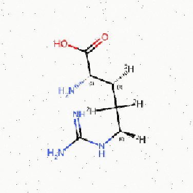 [2H][C@@H](NC(=N)N)C([2H])([2H])[C@@H]([2H])[C@H](N)C(=O)O